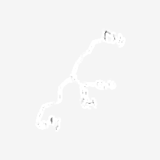 CCCCN(CCCC)[SiH](C)O